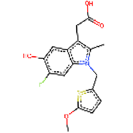 COc1ccc(Cn2c(C)c(CC(=O)O)c3cc(O)c(F)cc32)s1